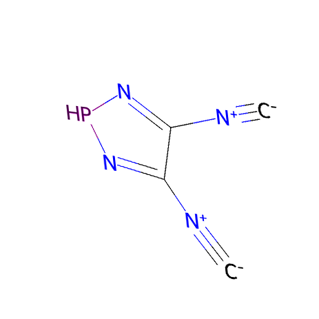 [C-]#[N+]c1n[pH]nc1[N+]#[C-]